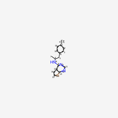 CCc1ccc(CC(C)Nc2ncnc3sccc23)cc1